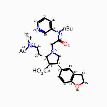 CCCCN(C(=O)CN1C[C@H](c2ccc3c(c2)CCO3)[C@@H](C(=O)O)[C@@H]1CCN(CC)C(C)=O)c1cccnc1